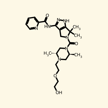 C[C@@H]1CN(C(=O)N2Cc3c(NC(=O)c4ccccn4)n[nH]c3C2(C)C)[C@@H](C)CN1CCOCCO